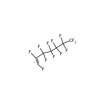 F/C=C(/F)C(F)(F)C(F)(F)C(F)(F)C(F)(F)C(F)(F)F